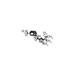 CC(C)N(C)c1cc(C(=O)N[C@H]2C3CC4CC2C[C@](C(N)=O)(C4)C3)nn1C